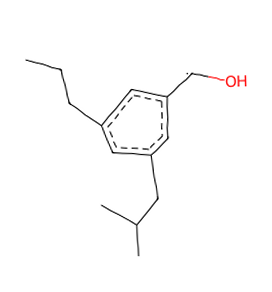 CCCc1cc([CH]O)cc(CC(C)C)c1